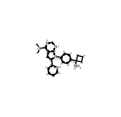 CN(C)c1ncnc2c1cc(-c1ccccn1)n2-c1ccc(C2(N)CCC2)cc1